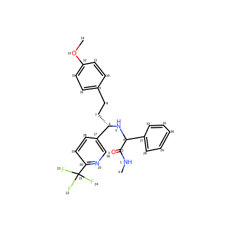 CNC(=O)C(N[C@@H](CCc1ccc(OC)cc1)c1ccc(C(F)(F)F)nc1)c1ccccc1